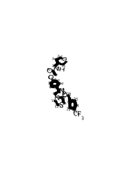 O=C(COc1ccc(/C(CN2CCSCC2)=N/OCc2ccc(C(F)(F)F)cc2)cc1)NCC1CCOCC1